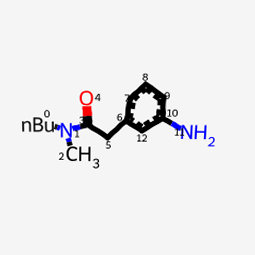 CCCCN(C)C(=O)Cc1cccc(N)c1